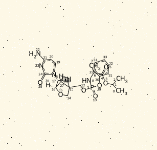 CC(C)OC(=O)C(C)NP(=O)(OCC12CO[C@@H]([C@H](n3ccc(N)nc3=O)O1)[C@@H]2O)Oc1ccccc1